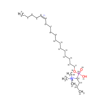 CCCC/C=C\CCCCCCCCCCCCOP(=O)(O)C(CCC)[N+](C)(C)C